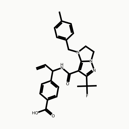 C=CC(NC(=O)c1c(C(C)(C)F)nn2c1N(Cc1ccc(C)cc1)CC2)c1ccc(C(=O)O)cc1